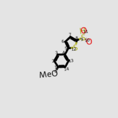 COc1ccc(-c2ccc([SH](=O)=O)s2)cc1